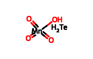 [O]=[Mn](=[O])(=[O])[OH].[TeH2]